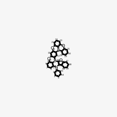 c1ccc(N2c3cccc4c3B(c3cc5c(cc3O4)Oc3cccc4c3B5c3ccccc3O4)c3oc4ccccc4c32)cc1